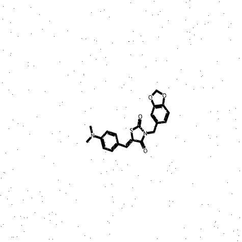 CN(C)c1ccc(C=C2SC(=O)N(Cc3ccc4c(c3)OCO4)C2=O)cc1